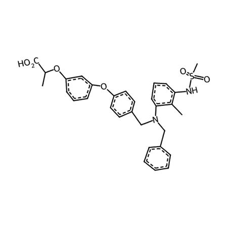 Cc1c(NS(C)(=O)=O)cccc1N(Cc1ccccc1)Cc1ccc(Oc2cccc(OC(C)C(=O)O)c2)cc1